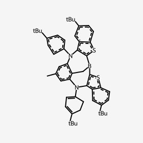 Cc1cc2c3c(c1)N(c1ccc(C(C)(C)C)cc1)c1c(sc4ccc(C(C)(C)C)cc14)B(C3)c1sc3ccc(C(C)(C)C)cc3c1N2C1=CC=C(C(C)(C)C)CC1